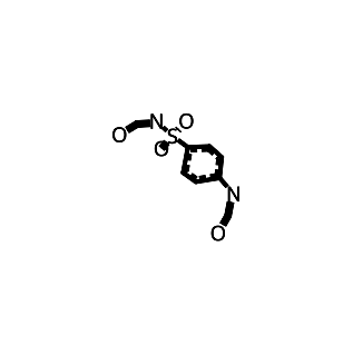 O=C=Nc1ccc(S(=O)(=O)N=C=O)cc1